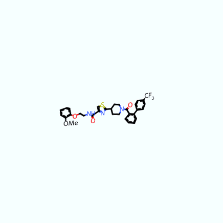 COc1ccccc1OCCNC(=O)c1csc(C2CCN(C(=O)c3ccccc3-c3ccc(C(F)(F)F)cc3)CC2)n1